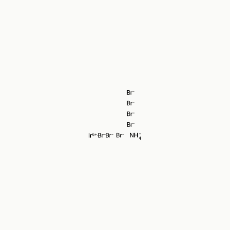 [Br-].[Br-].[Br-].[Br-].[Br-].[Br-].[Br-].[Ir+6].[NH4+]